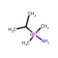 CC(C)[PH](C)(C)N